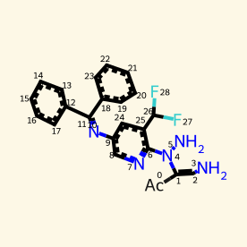 CC(=O)/C(=C/N)N(N)c1ncc(N=C(c2ccccc2)c2ccccc2)cc1C(F)F